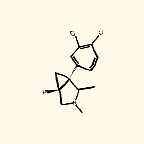 CC1N(C)C[C@@H]2C[C@@]12c1ccc(Cl)c(Cl)c1